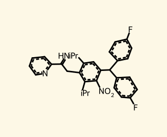 CC(C)c1cc(C(c2ccc(F)cc2)c2ccc(F)cc2)c([N+](=O)[O-])c(C(C)C)c1CC(=N)c1ccccn1